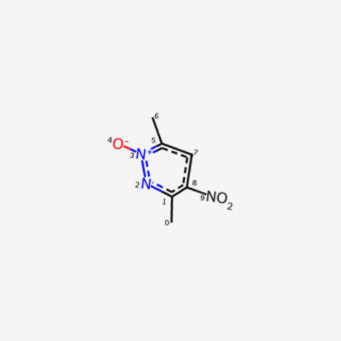 Cc1n[n+]([O-])c(C)cc1[N+](=O)[O-]